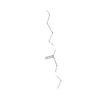 CC(C)(C)CCCCOC(=O)COCC(C)(C)C